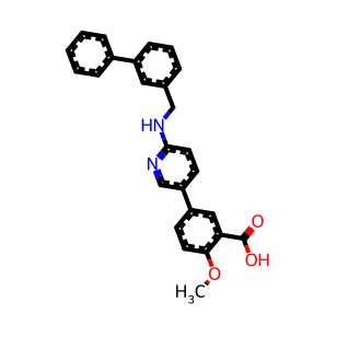 COc1ccc(-c2ccc(NCc3cccc(-c4ccccc4)c3)nc2)cc1C(=O)O